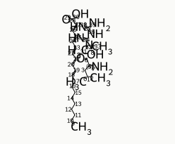 CC(C)C[C@H](N)C(=O)O.CCCCCCCCCC=CC=CC=CC=CC=CC(=O)O.CN(C)C(=N)NC(=N)N